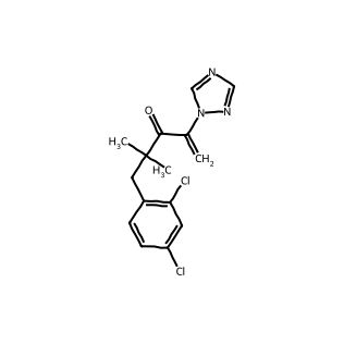 C=C(C(=O)C(C)(C)Cc1ccc(Cl)cc1Cl)n1cncn1